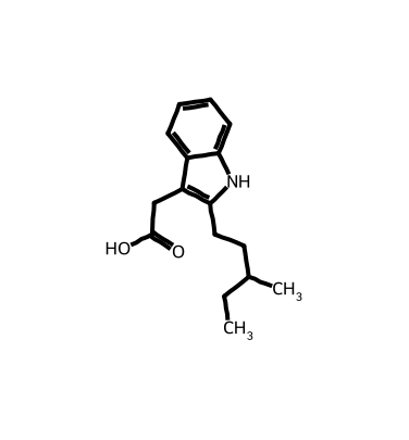 CCC(C)CCc1[nH]c2ccccc2c1CC(=O)O